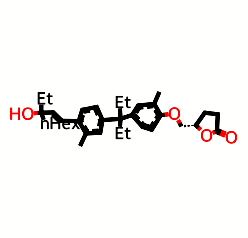 CCCCCCC(O)(C=Cc1ccc(C(CC)(CC)c2ccc(OC[C@@H]3CCC(=O)O3)c(C)c2)cc1C)CC